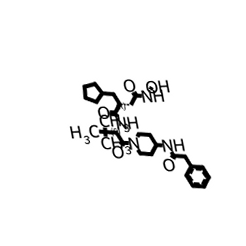 CC(C)(C)[C@H](NC(=O)[C@@H](CC(=O)NO)CC1CCCC1)C(=O)N1CCC(NC(=O)Cc2ccccc2)CC1